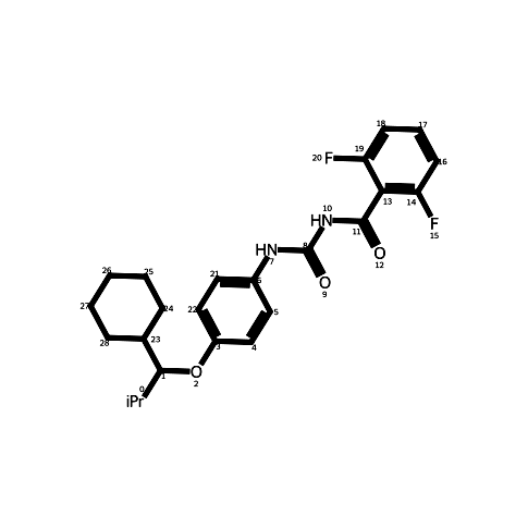 CC(C)C(Oc1ccc(NC(=O)NC(=O)c2c(F)cccc2F)cc1)C1CCCCC1